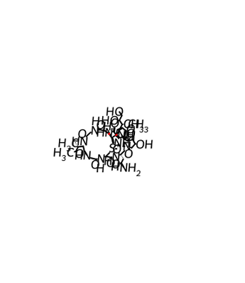 CC[C@H](C)C1NC(=O)CNC(=O)[C@@H]2Cc3c([nH]c4cc(OC)ccc34)[S+]([O-])C[C@H](NC(=O)CNC1=O)C(=O)N[C@@H](CC(N)=O)C(=O)N1C[C@H](O)C[C@H]1C(=O)N[C@@H]([C@@H](C)[C@@H](O)CO)C(=O)N2